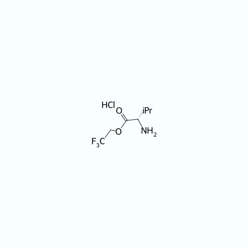 CC(C)[C@H](N)C(=O)OCC(F)(F)F.Cl